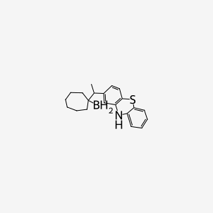 BC1(C(C)c2ccc3c(c2)Nc2ccccc2S3)CCCCCC1